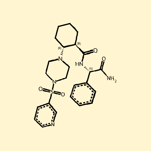 NC(=O)[C@@H](NC(=O)[C@@H]1CCCC[C@H]1N1CCN(S(=O)(=O)c2cccnc2)CC1)c1ccccc1